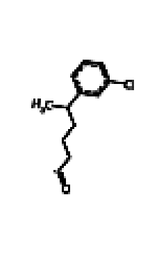 CC(CCC[C]=O)c1cccc(Cl)c1